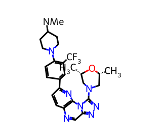 CNC1CCN(c2ccc(-c3ccc4ncc5nnc(N6C[C@@H](C)O[C@@H](C)C6)n5c4n3)cc2C(F)(F)F)CC1